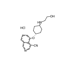 Cl.N#Cc1cncc2cccc(O[C@H]3CC[C@H](NCCO)CC3)c12